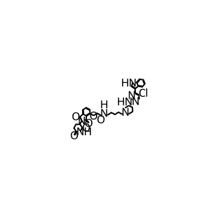 O=C(COc1cccc2c1C(=O)N(C1CCC(=O)NC1=O)C2=O)NCCCCCN1CCCC(Nc2ncc(Cl)c(-c3c[nH]c4ccccc34)n2)C1